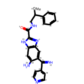 COC(CNC(=O)c1nc2cc(C(=N)c3ccncc3)c(N)cc2[nH]1)c1ccccc1